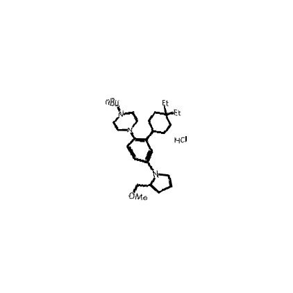 CCCCN1CCN(c2ccc(N3CCCC3COC)cc2C2CCC(CC)(CC)CC2)CC1.Cl